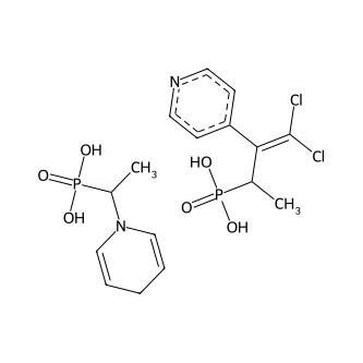 CC(C(=C(Cl)Cl)c1ccncc1)P(=O)(O)O.CC(N1C=CCC=C1)P(=O)(O)O